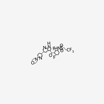 O=C(c1c(F)ccc(NS(=O)(=O)CCC(F)(F)F)c1F)c1c[nH]c2ncc(-c3ccc(N4CCOCC4)nc3)cc12